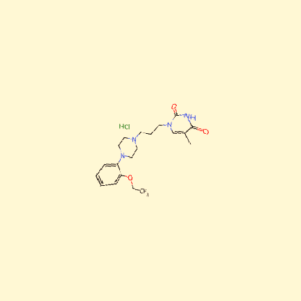 Cc1cn(CCCN2CCN(c3ccccc3OCC(F)(F)F)CC2)c(=O)[nH]c1=O.Cl